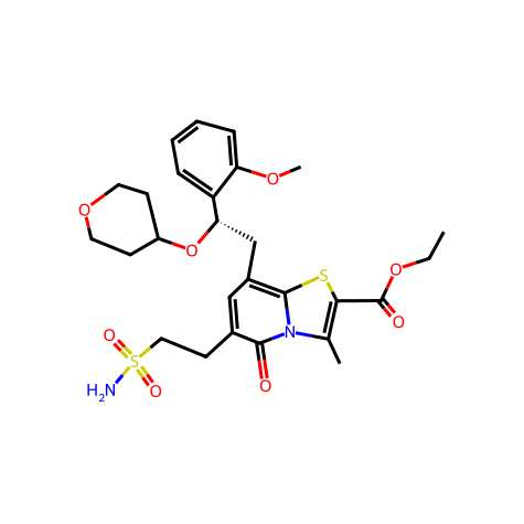 CCOC(=O)c1sc2c(C[C@H](OC3CCOCC3)c3ccccc3OC)cc(CCS(N)(=O)=O)c(=O)n2c1C